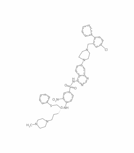 CN1CCN(CCC[C@H](CSc2ccccc2)Nc2ccc(S(=O)(=O)Nc3ncnc4cc(N5CCN(Cc6cc(Cl)ccc6-c6ccccc6)CC5)ccc34)cc2[N+](=O)[O-])CC1